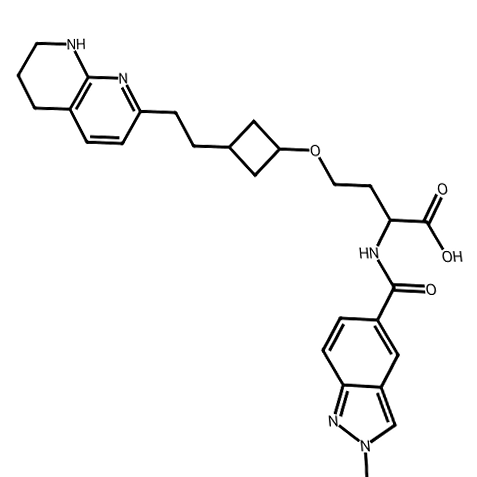 Cn1cc2cc(C(=O)NC(CCOC3CC(CCc4ccc5c(n4)NCCC5)C3)C(=O)O)ccc2n1